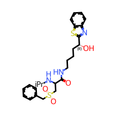 CC(C)NC(CS(=O)(=O)Cc1ccccc1)C(=O)NCCCC[C@@H](O)c1nc2ccccc2s1